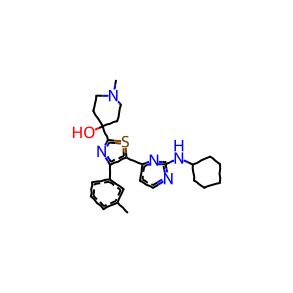 Cc1cccc(-c2nc(C3(O)CCN(C)CC3)sc2-c2ccnc(NC3CCCCC3)n2)c1